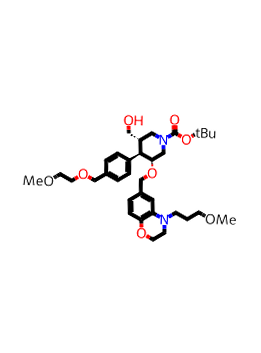 COCCCN1CCOc2ccc(CO[C@H]3CN(C(=O)OC(C)(C)C)C[C@@H](CO)[C@@H]3c3ccc(COCCOC)cc3)cc21